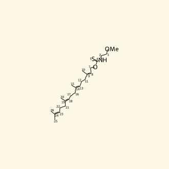 COCCNC(=S)OC/C=C(\C)CC/C=C(\C)CC/C=C(\C)CCC=C(C)C